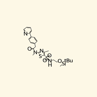 Cc1nc(N(C)C(=O)Cc2ccc(-c3ccccn3)cc2)sc1S(=O)(=O)NCCO[Si](C)(C)C(C)(C)C